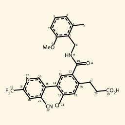 COc1cccc(C)c1CNC(=O)c1cc(-c2cnc(C(F)(F)F)cc2C#N)c(Cl)cc1CCC(=O)O